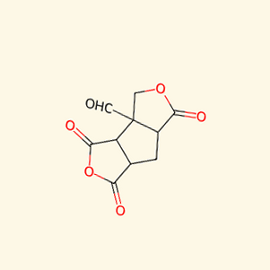 O=CC12COC(=O)C1CC1C(=O)OC(=O)C12